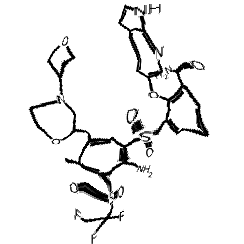 Cc1c(C2CN(C3COC3)CCO2)cc(S(=O)(=O)c2cccc(C(N)=O)c2Oc2cnc3[nH]ccc3c2)c(N)c1S(=O)(=O)C(F)(F)F